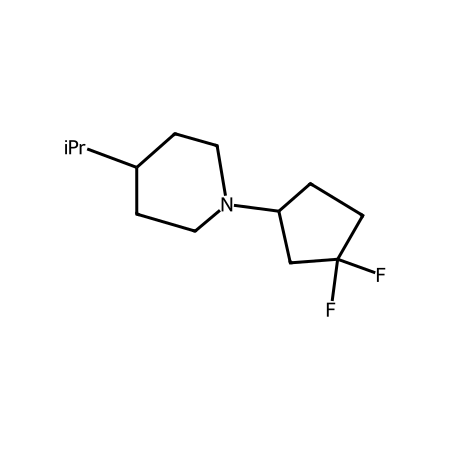 CC(C)C1CCN(C2CCC(F)(F)C2)CC1